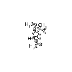 COC(=O)C(C)C(c1ccc(O)c(COC(C)=O)c1)C1CC1